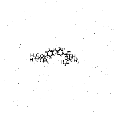 CC(C)(C)OC(=O)c1ccc(Cc2ccc(C(=O)OC(C)(C)C)cc2)cc1